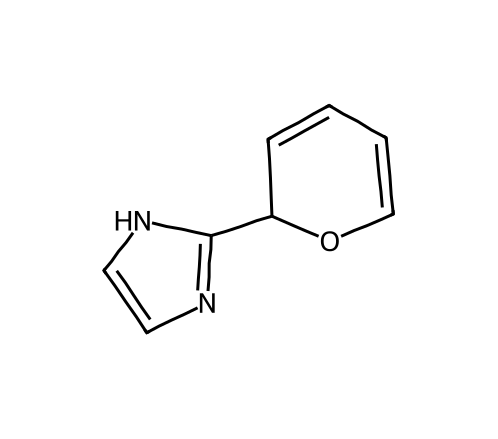 C1=COC(c2ncc[nH]2)C=C1